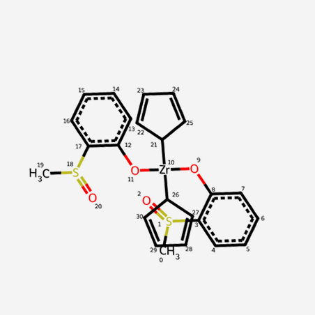 CS(=O)c1ccccc1[O][Zr]([O]c1ccccc1S(C)=O)([CH]1C=CC=C1)[CH]1C=CC=C1